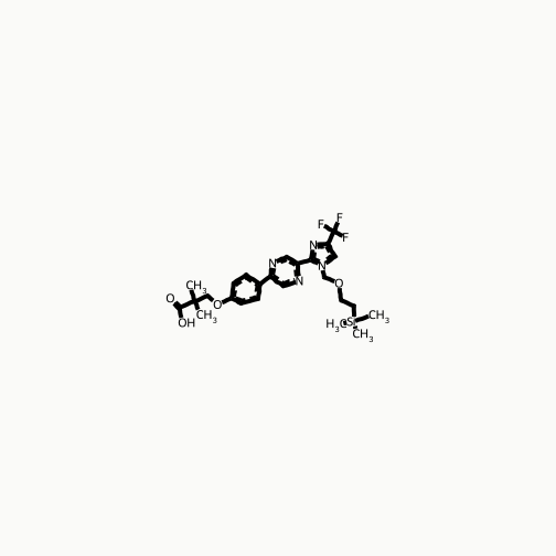 CC(C)(COc1ccc(-c2cnc(-c3nc(C(F)(F)F)cn3COCC[Si](C)(C)C)cn2)cc1)C(=O)O